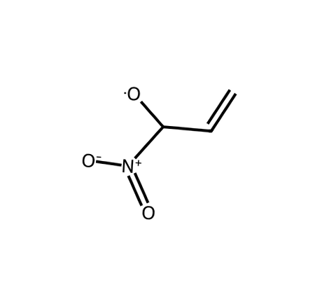 C=CC([O])[N+](=O)[O-]